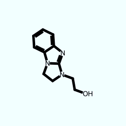 OCCN1CCn2c1nc1ccccc12